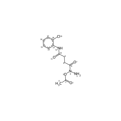 CC(=O)ON(N)C(=O)CCC(=O)Nc1ccccc1Cl